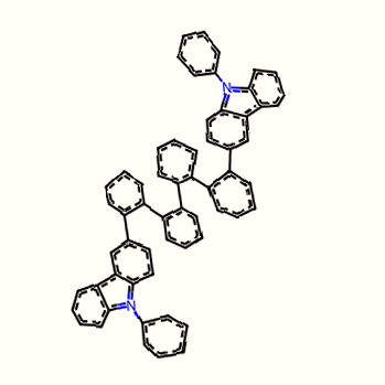 c1ccc(-n2c3ccccc3c3cc(-c4ccccc4-c4ccccc4-c4ccccc4-c4ccccc4-c4ccc5c(c4)c4ccccc4n5-c4ccccc4)ccc32)cc1